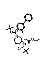 CCOC(=O)C[C@]1(N[S@+]([O-])C(C)(C)C)CCCN(C(=O)OC(C)(C)C)[C@@H]1Cc1cccc(-c2ccccc2)c1